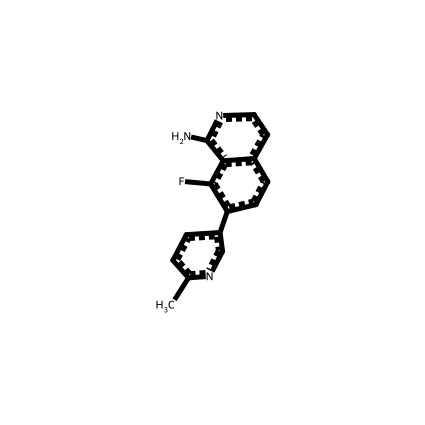 Cc1ccc(-c2ccc3ccnc(N)c3c2F)cn1